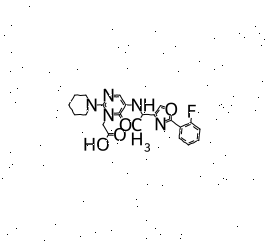 CC(Nc1cnc(N2CCCCC2)n(CC(=O)O)c1=O)c1coc(-c2ccccc2F)n1